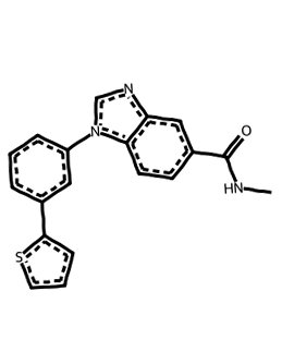 CNC(=O)c1ccc2c(c1)ncn2-c1cccc(-c2cccs2)c1